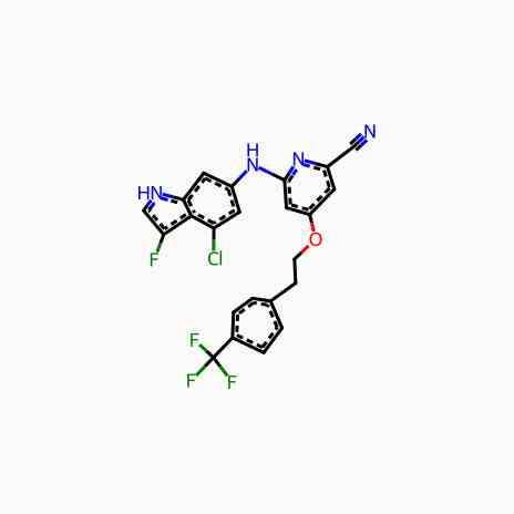 N#Cc1cc(OCCc2ccc(C(F)(F)F)cc2)cc(Nc2cc(Cl)c3c(F)c[nH]c3c2)n1